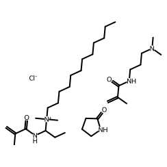 C=C(C)C(=O)NC(CC)[N+](C)(C)CCCCCCCCCCCC.C=C(C)C(=O)NCCCN(C)C.O=C1CCCN1.[Cl-]